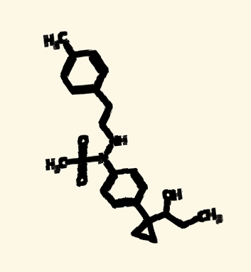 CCC(O)C1(c2ccc(N(NCCc3ccc(C)cc3)S(C)(=O)=O)cc2)CC1